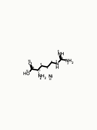 N=C(N)NCCC[C@H](N)C(=O)O.[Ni]